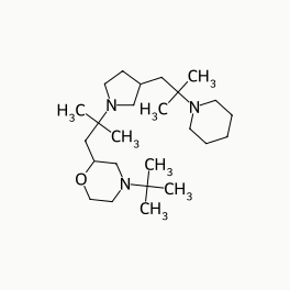 CC(C)(C)N1CCOC(CC(C)(C)N2CCC(CC(C)(C)N3CCCCC3)C2)C1